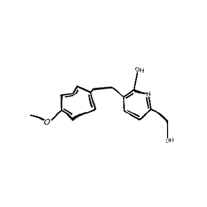 COc1ccc(Cc2ccc(CO)nc2O)cc1